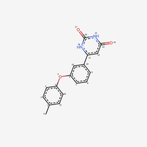 Cc1ccc(Oc2cccc(-c3cc(=O)[nH]c(=O)[nH]3)c2)cc1